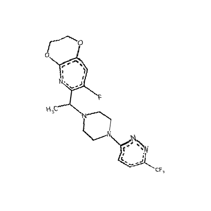 CC(c1nc2c(cc1F)OCCO2)N1CCN(c2ccc(C(F)(F)F)nn2)CC1